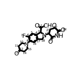 O=CC(=O)C1c2cc(F)c(N3CCC(=O)CC3)cc2CN1C1CCC(=O)NC1=O